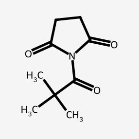 CC(C)(C)C(=O)N1C(=O)CCC1=O